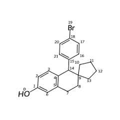 Oc1ccc2c(c1)CCC1(CCCC1)C2c1ccc(Br)cc1